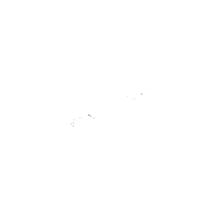 O=C(O)CCCCCCCCCCCC=CC=CC1=CO1